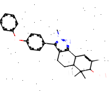 Cn1nc2c(c1-c1ccc(Oc3ccccc3)cc1)CC[C@H]1C(C)(C)C(O)C(C#N)=C[C@]21C